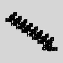 Oc1ccc(Cl)cc1Cc1cc(Cl)cc(Cc2cc(Cl)cc(Cc3cc(Cl)cc(Cc4cc(Cl)cc(Cc5cc(Cl)cc(Cc6cc(Cl)cc(Cc7cc(Cl)cc(Cc8cc(Cl)ccc8O)c7O)c6O)c5O)c4O)c3O)c2O)c1O